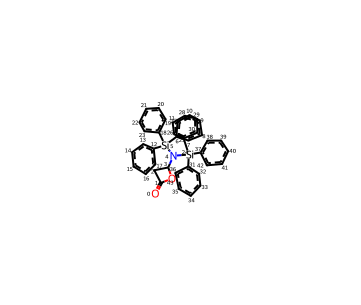 O=C1CC(N([Si](c2ccccc2)(c2ccccc2)c2ccccc2)[Si](c2ccccc2)(c2ccccc2)c2ccccc2)O1